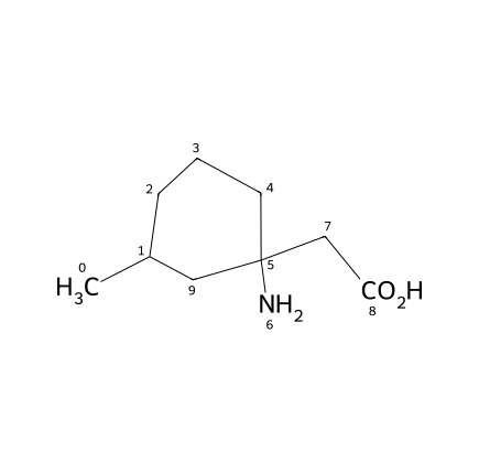 CC1CCCC(N)(CC(=O)O)C1